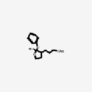 CCCCCCCCCCCCCC1CCOC1(O)Oc1ccccc1